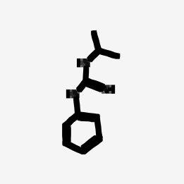 CC(C)NC(=N)Nc1ccccc1